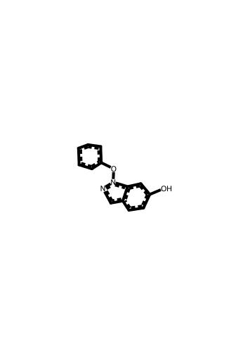 Oc1ccc2cnn(Oc3ccccc3)c2c1